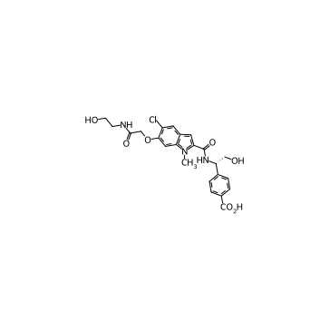 Cn1c(C(=O)N[C@H](CO)c2ccc(C(=O)O)cc2)cc2cc(Cl)c(OCC(=O)NCCO)cc21